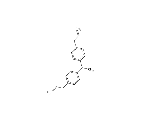 C=CCc1ccc(C(C)c2ccc(CC=C)cc2)cc1